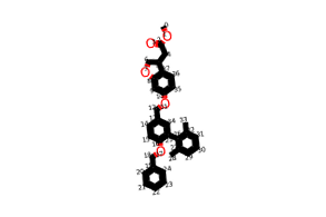 COC(=O)CC1COc2cc(OCc3ccc(OCc4ccccc4)c(-c4c(C)cccc4C)c3)ccc21